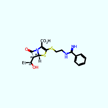 CC[C@H](O)[C@@H]1C(=O)N2C(C(=O)O)=C(SCCNC(=N)c3ccccc3)S[C@H]12